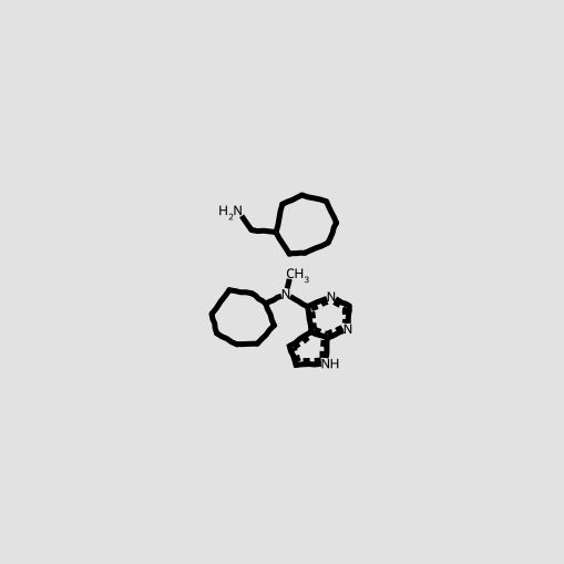 CN(c1ncnc2[nH]ccc12)C1CCCCCCC1.NCC1CCCCCCC1